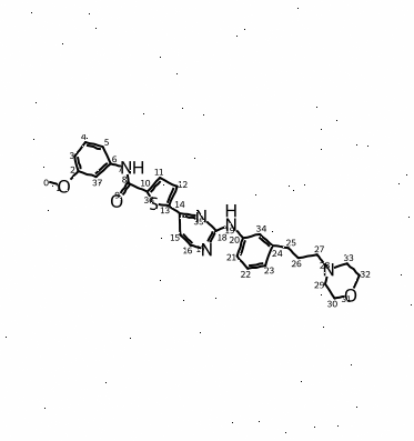 COc1cccc(NC(=O)c2ccc(-c3ccnc(Nc4cccc(CCCN5CCOCC5)c4)n3)s2)c1